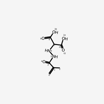 C=C(C)C(=O)NNC(C(=O)O)C(=O)O